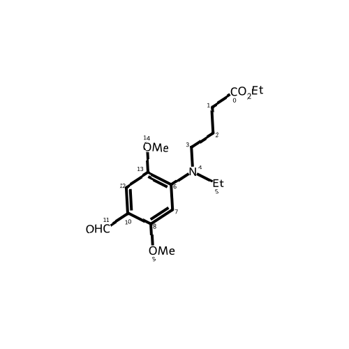 CCOC(=O)CCCN(CC)c1cc(OC)c(C=O)cc1OC